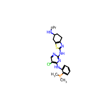 CCCNC1CCc2nc(Nc3ncc(Cl)c(Nc4ccccc4P(C)C)n3)sc2C1